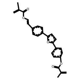 C=C(C)C(=O)O/C=C/c1ccc(-c2ccc(-c3ccc(OC(=O)C(=C)C)cc3)o2)cc1